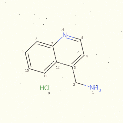 Cl.NCc1ccnc2ccccc12